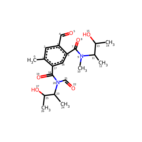 Cc1cc(C=O)c(C(=O)N(C)C(C)C(C)O)cc1C(=O)N(C=O)C(C)C(C)O